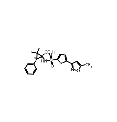 CC1(C)[C@H](c2ccccc2)[C@]1(NS(=O)(=O)c1ccc(-c2cc(C(F)(F)F)on2)s1)C(=O)O